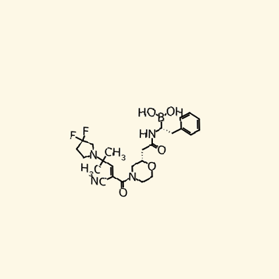 CC(C)(C=C(C#N)C(=O)N1CCO[C@@H](CC(=O)N[C@@H](Cc2ccccc2)B(O)O)C1)N1CCC(F)(F)C1